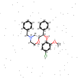 CCOc1cc(Cl)ccc1O[C@H](c1ccccc1)[C@H]1CN(Cc2ccccc2)CCO1